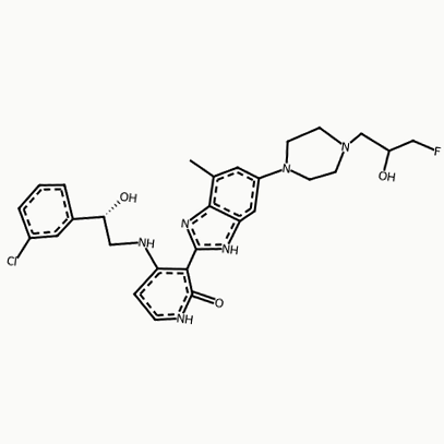 Cc1cc(N2CCN(CC(O)CF)CC2)cc2[nH]c(-c3c(NC[C@@H](O)c4cccc(Cl)c4)cc[nH]c3=O)nc12